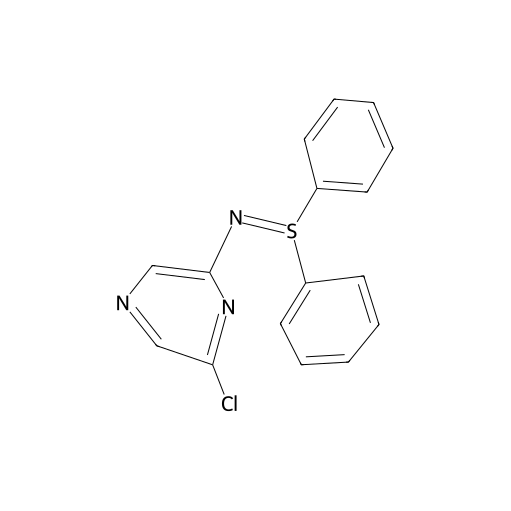 Clc1cncc(N=S(c2ccccc2)c2ccccc2)n1